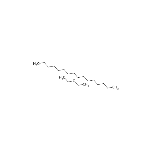 CCCCCCCCCCCCCCCC.CCOCC